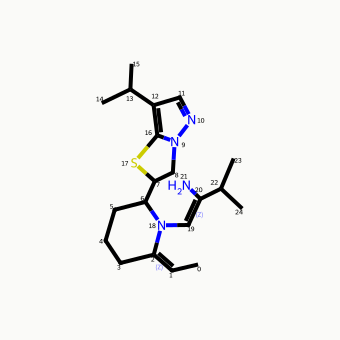 C/C=C1/CCCC(C2Cn3ncc(C(C)C)c3S2)N1/C=C(\N)C(C)C